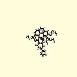 COc1ccc(/C=C\c2cc(OC)c(OC)c(OC)c2)cc1NC(=O)C1CCN(c2cccs2)CC1